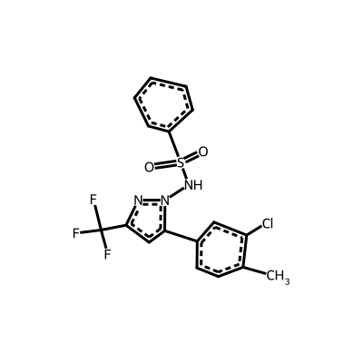 Cc1ccc(-c2cc(C(F)(F)F)nn2NS(=O)(=O)c2ccccc2)cc1Cl